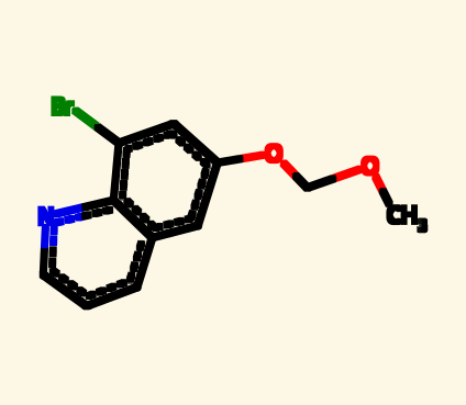 COCOc1cc(Br)c2ncccc2c1